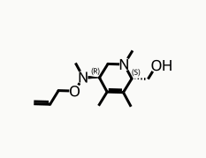 C=CCON(C)[C@H]1CN(C)[C@H](CO)C(C)=C1C